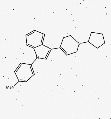 CNc1ccc(-n2cc(C3=CCN(C4CCCC4)CC3)c3ccccc32)cc1